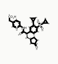 O=C(O)Cc1ccc(NC(=O)[C@H](C[C@H]2CCC(=O)C2)c2ccc(S(=O)(=O)C3CC3)c(C3CC3)c2)nc1